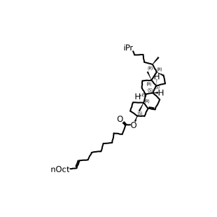 CCCCCCCCC=CCCCCCCCC(=O)O[C@H]1CC[C@@]2(C)C(=CC[C@H]3[C@@H]4CC[C@H]([C@H](C)CCCC(C)C)[C@@]4(C)CC[C@@H]32)C1